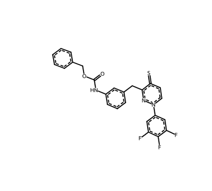 O=C(Nc1cccc(Cc2nn(-c3cc(F)c(F)c(F)c3)ccc2=S)c1)OCc1ccccc1